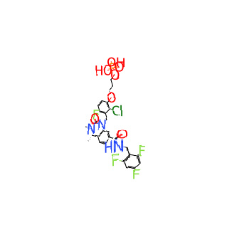 C[C@H]1c2ccc(C(=O)NCc3c(F)cc(F)cc3F)cc2N(Cc2c(F)ccc(OCCCOP(=O)(O)O)c2Cl)C(=O)N1C